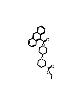 CCOC(=O)[C@@H]1CCCN(C2CCN(C(=O)c3c4ccccc4cc4ccccc34)CC2)C1